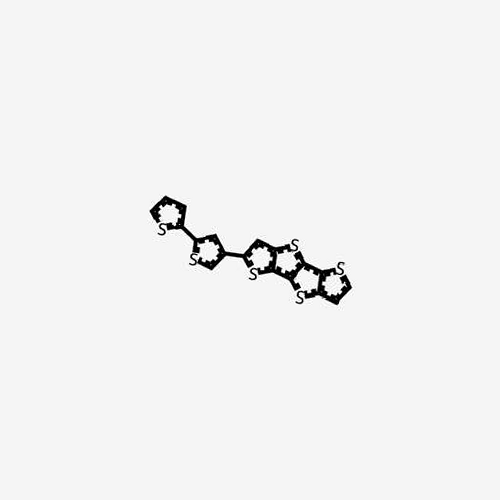 c1csc(-c2cc(-c3cc4sc5c6sccc6sc5c4s3)cs2)c1